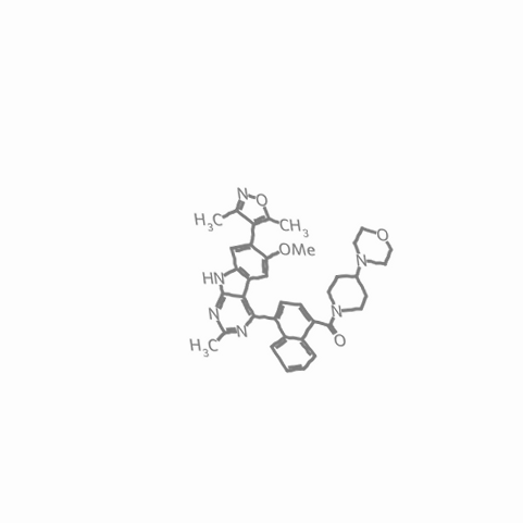 COc1cc2c(cc1-c1c(C)noc1C)[nH]c1nc(C)nc(-c3ccc(C(=O)N4CCC(N5CCOCC5)CC4)c4ccccc34)c12